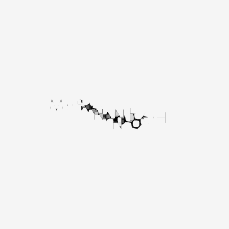 CSN1CC(ON=C2CN(c3ncc(-c4cccc(CO)c4F)cn3)C2)C1